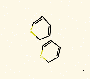 C1=CCSC=C1.C1=CCSC=C1